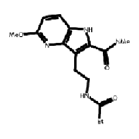 CCC(=O)NCCc1c(C(=O)NC)[nH]c2ccc(OC)nc12